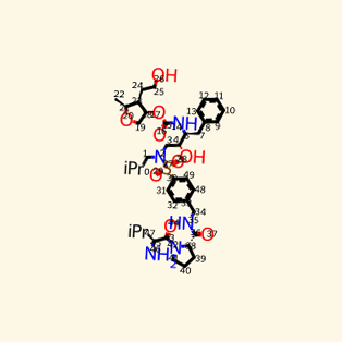 CC(C)CN(C[C@@H](O)[C@H](Cc1ccccc1)NC(=O)O[C@H]1CO[C@@H](C)[C@H]1CCO)S(=O)(=O)c1ccc(CNC(=O)[C@@H]2CCCN2C(=O)[C@@H](N)C(C)C)cc1